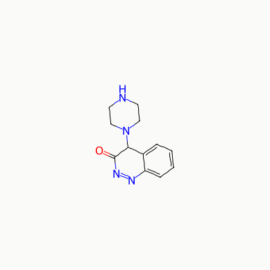 O=C1N=Nc2ccccc2C1N1CCNCC1